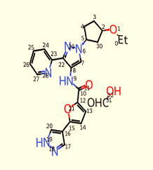 CCO[C@@H]1CC[C@H](n2cc(NC(=O)c3ccc(-c4cn[nH]c4)o3)c(-c3ccccn3)n2)C1.O=CO